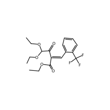 CCOC(=O)/C(=C/c1ccccc1C(F)(F)F)C(=O)C(OCC)OCC